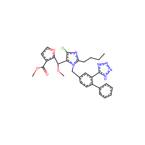 CCCCc1nc(Cl)c(C(OC)c2occc2C(=O)OC)n1Cc1ccc(-c2ccccc2)c(-c2nnn[nH]2)c1